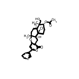 CC(=O)O[C@H]1CC[C@@]2(C)[C@@H](CC[C@@]3(C)Oc4cc(-c5cccnc5)oc(=O)c4C[C@H]23)[C@]1(C)CO